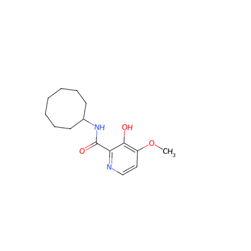 COc1ccnc(C(=O)NC2CCCCCCC2)c1O